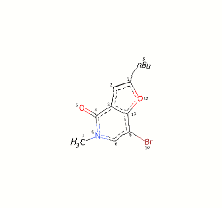 CCCCc1cc2c(=O)n(C)cc(Br)c2o1